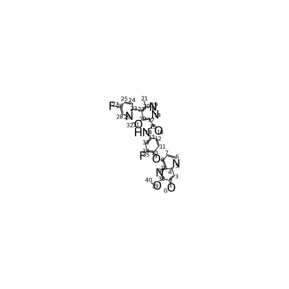 COc1cc2nccc(Oc3ccc(NC(=O)c4nnc(C)c(-c5ccc(F)cn5)c4OC)cc3F)c2nc1OC